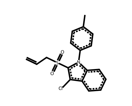 C=CCS(=O)(=O)c1c(Cl)c2ccccc2n1-c1ccc(C)cc1